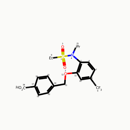 CCS(=O)(=O)N(c1ccc(C(F)(F)F)cc1OCc1ccc(C(=O)O)cc1)C(C)C